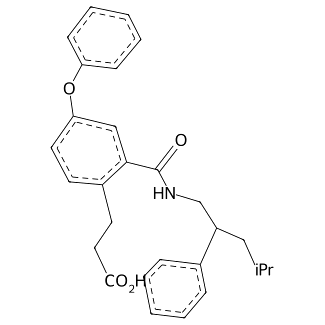 CC(C)CC(CNC(=O)c1cc(Oc2ccccc2)ccc1CCC(=O)O)c1ccccc1